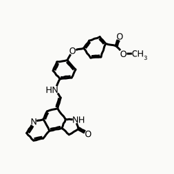 COC(=O)c1ccc(Oc2ccc(NC=C3C=c4ncccc4=C4CC(=O)NC34)cc2)cc1